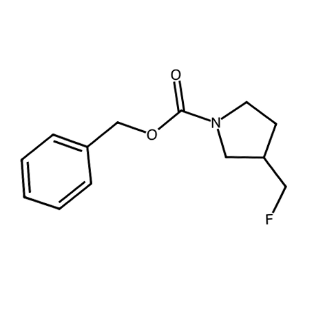 O=C(OCc1ccccc1)N1CCC(CF)C1